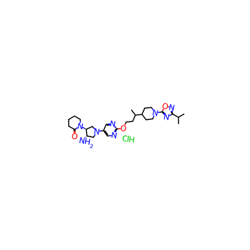 CC(C)c1noc(N2CCC(C(C)CCOc3ncc(N4C[C@H](N)[C@@H](N5CCCCC5=O)C4)cn3)CC2)n1.Cl